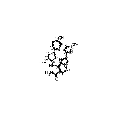 CCn1ccc(-c2cn3ncc(C(N)=O)c(N[C@@H]4CN(c5ccc(C#N)cn5)C[C@@H]4C)c3n2)n1